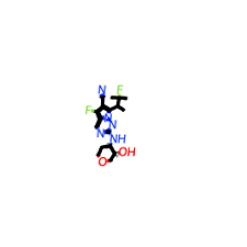 CC(c1c(C#N)c(F)c2cnc(N[C@@H]3CCOC[C@H]3O)nn12)C(C)(C)F